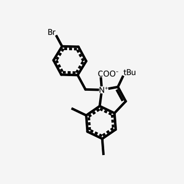 Cc1cc(C)c2c(c1)C=C(C(C)(C)C)[N+]2(Cc1ccc(Br)cc1)C(=O)[O-]